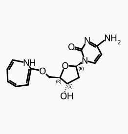 Nc1ccn([C@H]2C[C@H](O)[C@@H](COC3=CC=CC=CN3)O2)c(=O)n1